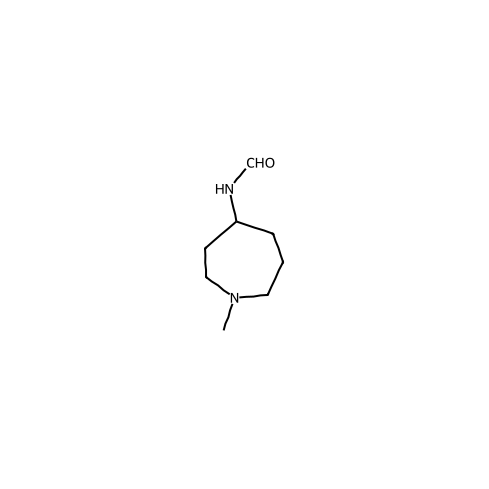 CN1CCCC(NC=O)CC1